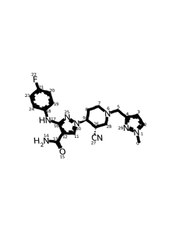 Cn1ccc(CN2CC[C@H](n3cc(C(N)=O)c(Nc4ccc(F)cc4)n3)[C@@H](C#N)C2)n1